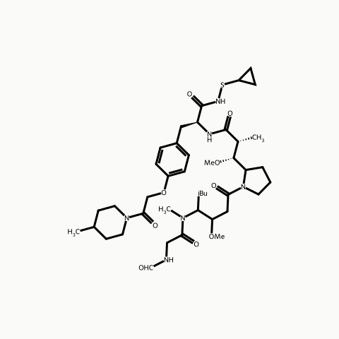 CCC(C)C(C(CC(=O)N1CCCC1[C@H](OC)[C@@H](C)C(=O)N[C@@H](Cc1ccc(OCC(=O)N2CCC(C)CC2)cc1)C(=O)NSC1CC1)OC)N(C)C(=O)CNC=O